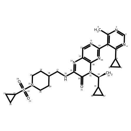 Cc1ncnc(C2CC2)c1-c1ncc2nc(NCC3CCN(S(=O)(=O)C4CC4)CC3)c(=O)n([C@@H](C)C3CC3)c2n1